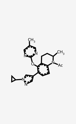 CC(=O)N1c2ccc(-c3cnn(C4CC4)c3)c(Oc3ncc(C)cn3)c2CCC1C